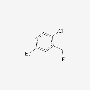 CCc1ccc(Cl)c(CF)c1